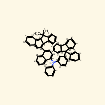 CC1(C)c2ccccc2-c2c(-c3ccc(N(c4ccccc4)c4cccc(C5(c6ccccc6)C6=CC=CCC6c6ccccc65)c4)c4ccccc34)cc3ccccc3c21